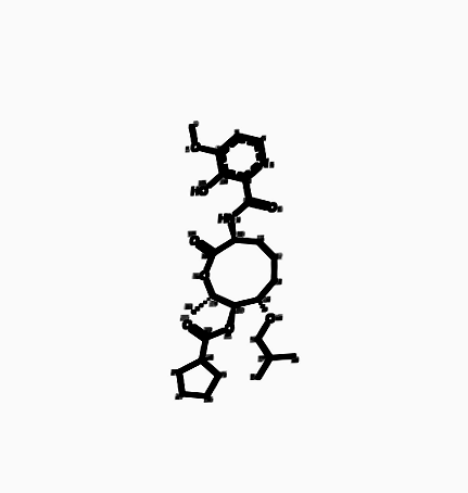 COc1ccnc(C(=O)N[C@H]2CCC[C@H](OCC(C)C)[C@@H](OC(=O)C3CCCC3)[C@H](C)OC2=O)c1O